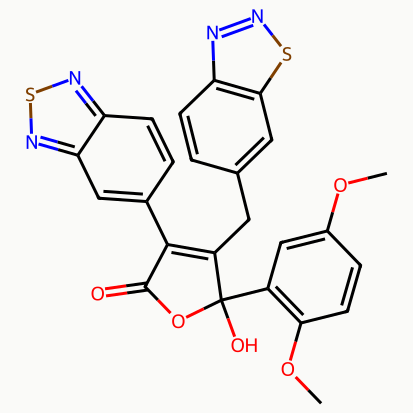 COc1ccc(OC)c(C2(O)OC(=O)C(c3ccc4nsnc4c3)=C2Cc2ccc3nnsc3c2)c1